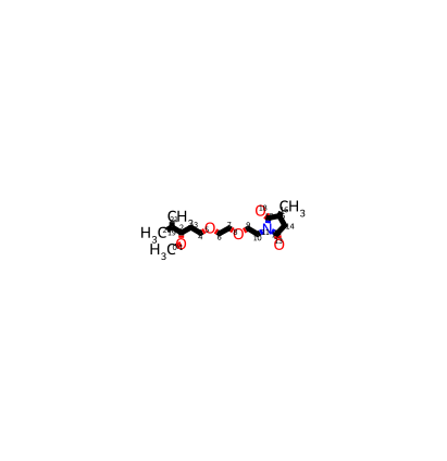 COC(CCOCCOCCN1C(=O)CC(C)C1=O)C(C)C